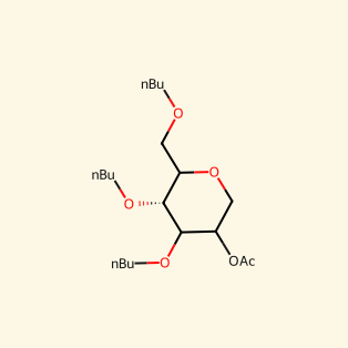 CCCCOCC1OCC(OC(C)=O)C(OCCCC)[C@@H]1OCCCC